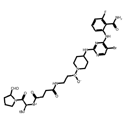 CC(C)(C)C(NC(=O)CCC(=O)NCC[S+]([O-])N1CCC(Nc2ncc(Br)c(Nc3cccc(F)c3C(N)=O)n2)CC1)C(=O)N1CCCC1C=O